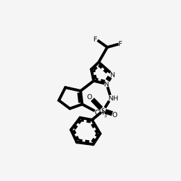 CC1=C(c2cc(C(F)F)nn2NS(=O)(=O)c2ccccc2)CCC1